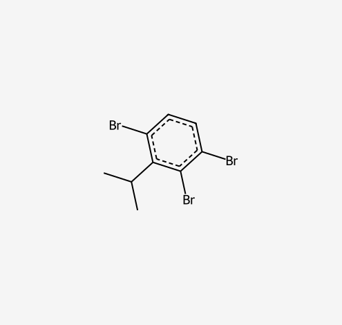 CC(C)c1c(Br)ccc(Br)c1Br